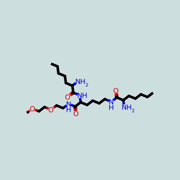 CCCCCC(N)C(=O)NCCCCC(NC(=O)C(N)CCCCC)C(=O)NCCOCCOC